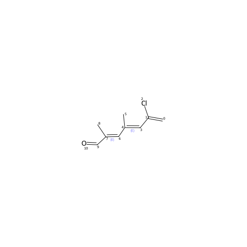 C=C(Cl)/C=C(C)/C=C(\C)C=O